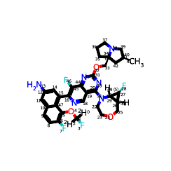 [2H]C([2H])(F)Oc1c(F)ccc2cc(N)cc(-c3ncc4c(N5CCOC[C@H]6[C@H](F)[C@H]65)nc(OC[C@@]56CCCN5C[C@@H](C)C6)nc4c3F)c12